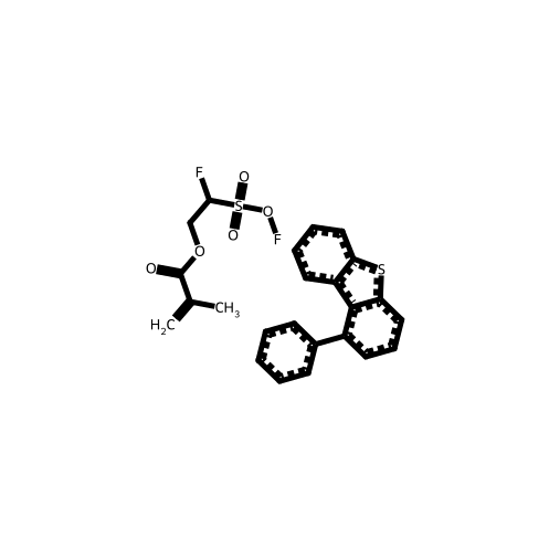 C=C(C)C(=O)OCC(F)S(=O)(=O)OF.c1ccc(-c2cccc3sc4ccccc4c23)cc1